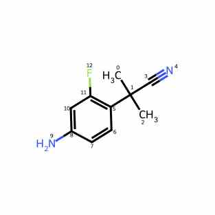 CC(C)(C#N)c1ccc(N)cc1F